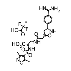 Cc1noc(C)c1S(=O)(=O)N[C@@H](CNC(=O)C[C@H]1CC(c2ccc(C(=N)N)cc2)NO1)C(=O)O.O=C(O)C(F)(F)F